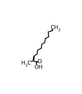 C=CCCCCCCCCC=C(C)C(=O)O